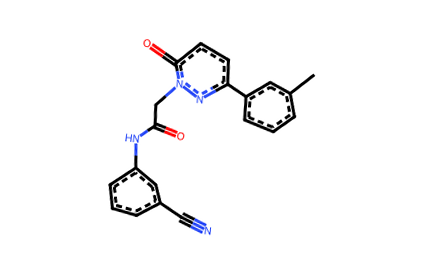 Cc1cccc(-c2ccc(=O)n(CC(=O)Nc3cccc(C#N)c3)n2)c1